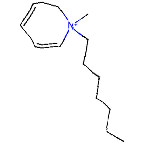 CCCCCCC[N+]1(C)C=CC=CC1